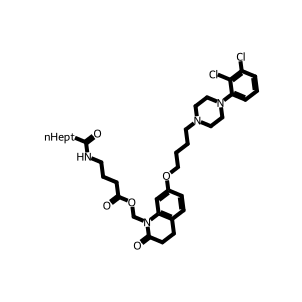 CCCCCCCC(=O)NCCCC(=O)OCN1C(=O)CCc2ccc(OCCCCN3CCN(c4cccc(Cl)c4Cl)CC3)cc21